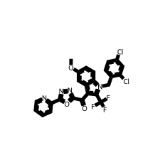 COc1ccc2c(c1)c(C(=O)c1nnc(-c3ccccn3)o1)c(C(F)(F)F)n2Cc1ccc(Cl)cc1Cl